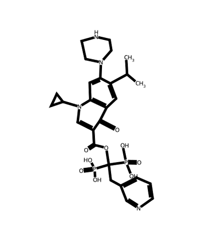 CC(C)c1cc2c(=O)c(C(=O)OC(Cc3cccnc3)(P(=O)(O)O)P(=O)(O)O)cn(C3CC3)c2cc1N1CCNCC1